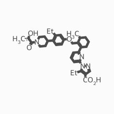 CCc1cc(OCC2=C(c3cccc(-n4ncc(C(=O)O)c4CC)n3)CCCC2C)ccc1C1CCN(C(=O)[C@H](C)O)CC1